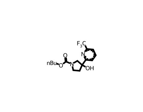 CCCCOC(=O)N1CCC(O)(c2cccc(C(F)(F)F)n2)C1